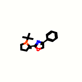 CC(C)(C)P1CCC[C@@H]1C1=N[C@@H](c2ccccc2)CO1